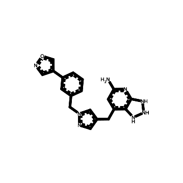 Nc1cc(Cc2cnn(Cc3cccc(-c4cnoc4)c3)c2)c2c(n1)NNN2